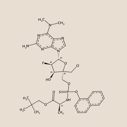 C[C@H](NP(=S)(OC[C@@]1(CCl)O[C@@H](n2cnc3c(N(C)C)nc(N)nc32)[C@H](F)[C@@H]1O)Oc1cccc2ccccc12)C(=O)OCC(C)(C)C